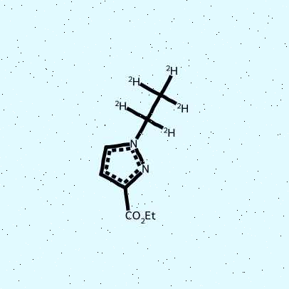 [2H]C([2H])([2H])C([2H])([2H])n1ccc(C(=O)OCC)n1